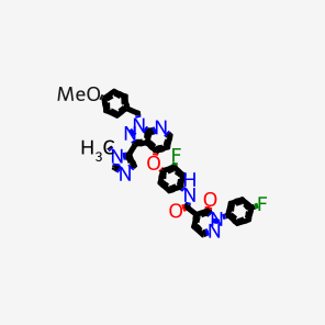 COc1ccc(Cn2nc(-c3cncn3C)c3c(Oc4ccc(NC(=O)c5ccnn(-c6ccc(F)cc6)c5=O)cc4F)ccnc32)cc1